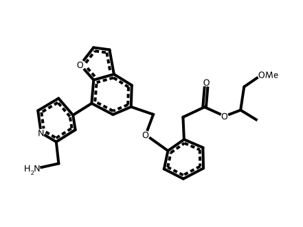 COCC(C)OC(=O)Cc1ccccc1OCc1cc(-c2ccnc(CN)c2)c2occc2c1